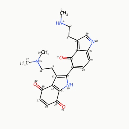 CNCCC1=C2C(=O)C(c3[nH]c4c(c3CCN(C)C)C(=O)C=CC4=O)=CC=C2N=C1